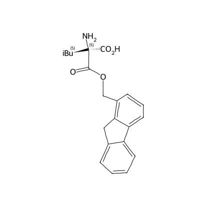 CC[C@H](C)[C@](N)(C(=O)O)C(=O)OCc1cccc2c1Cc1ccccc1-2